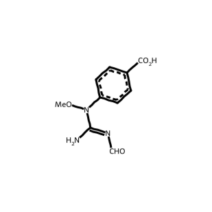 CON(C(N)=NC=O)c1ccc(C(=O)O)cc1